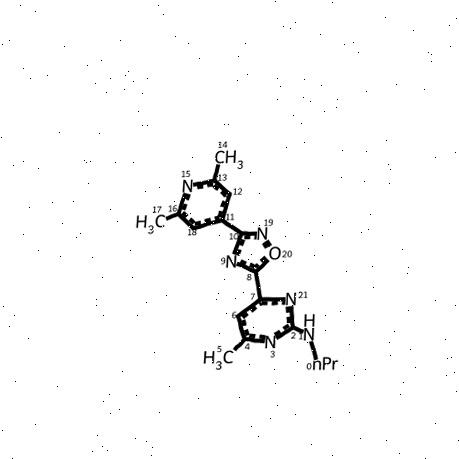 CCCNc1nc(C)cc(-c2nc(-c3cc(C)nc(C)c3)no2)n1